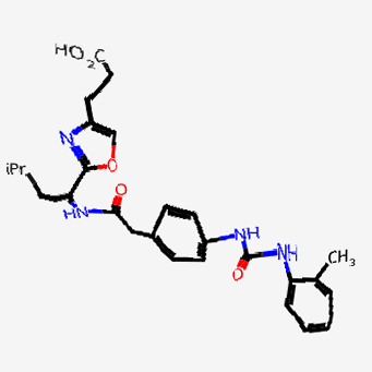 Cc1ccccc1NC(=O)Nc1ccc(CC(=O)NC(CC(C)C)c2nc(CCC(=O)O)co2)cc1